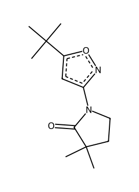 CC1(C)CCN(c2cc(C(C)(C)C)on2)C1=O